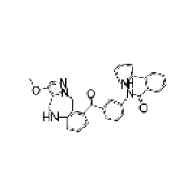 COc1cnn2c1CNc1cccc(C(=O)c3cccc(NC(=O)c4ccccc4-c4ccccn4)c3)c1C2